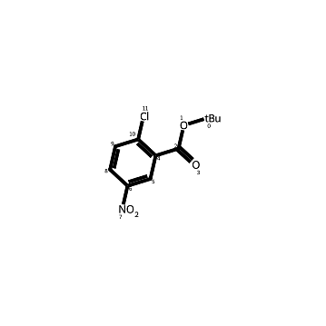 CC(C)(C)OC(=O)c1cc([N+](=O)[O-])ccc1Cl